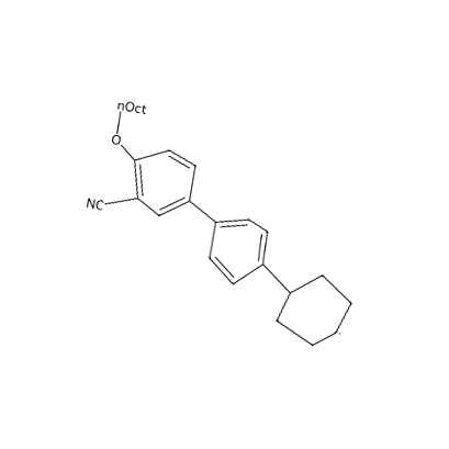 CCCCCCCCOc1ccc(-c2ccc(C3CC[CH]CC3)cc2)cc1C#N